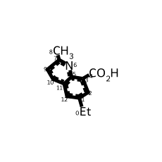 CCc1cc(C(=O)O)c2nc(C)ccc2c1